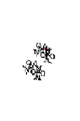 CN(C)P(=O)(OP(=O)(N(C)C)N(C)C)N(C)C.CN(C)P(=O)(OP(=O)(N(C)C)N(C)C)N(C)C